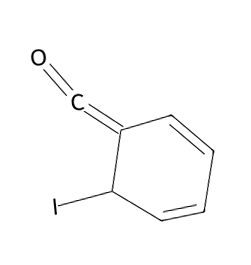 O=C=C1C=CC=CC1I